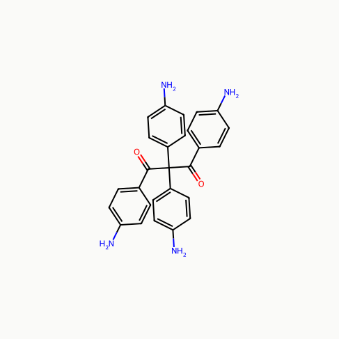 Nc1ccc(C(=O)C(C(=O)c2ccc(N)cc2)(c2ccc(N)cc2)c2ccc(N)cc2)cc1